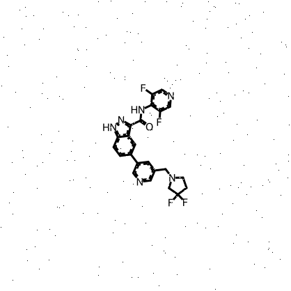 O=C(Nc1c(F)cncc1F)c1n[nH]c2ccc(-c3cncc(CN4CCC(F)(F)C4)c3)cc12